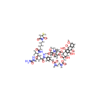 COc1cccc2c1C(=O)c1c(O)c3c(c(O)c1C2=O)C[C@@](O)(C(=O)COC(=O)N(C)CCN(C)C(=O)OCc1ccc(NC(=O)[C@@H](CCCNC(N)=O)CC(=O)[C@H](NC(=O)CCCCCN2C(=O)CC(SC)C2=O)C(C)C)cc1)C[C@@H]3O[C@H]1C[C@H]2[C@H](O[C@@H]3[C@@H](OC)OCCN32)[C@H](C)O1